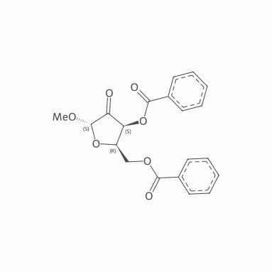 CO[C@H]1O[C@H](COC(=O)c2ccccc2)[C@H](OC(=O)c2ccccc2)C1=O